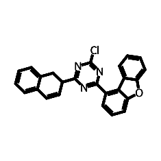 Clc1nc(-c2cccc3oc4ccccc4c23)nc(C2C=Cc3ccccc3C2)n1